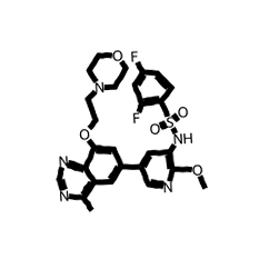 COc1ncc(-c2cc(OCCN3CCOCC3)c3ncnc(C)c3c2)cc1NS(=O)(=O)c1ccc(F)cc1F